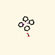 O=C(O)C(=O)O.c1ccc([PH](c2ccccc2)(c2ccccc2)c2ccccc2)cc1